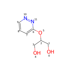 OCC(CO)Oc1cccnn1